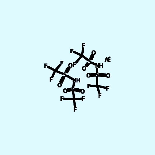 O=S(=O)(NS(=O)(=O)C(F)(F)F)C(F)(F)F.O=S(=O)(NS(=O)(=O)C(F)(F)F)C(F)(F)F.[Al]